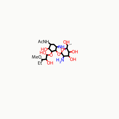 CCC(OC)C(O)C(O)OC1C(O)C(NC(C)=O)CC(N)C1OC1OC([C@@H](C)O)C(O)C(O)C1N